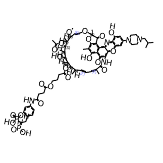 CO[C@H]1/C=C/O[C@@]2(C)Oc3c(C)c(O)c4c(=O)c(c5oc6cc(N7CCN(CC(C)C)CC7)cc(O)c6nc-5c4c3C2=O)NC(=O)/C(C)=C\C=C\[C@H](C)[C@H](OC(=O)CCCOC(=O)CCC(=O)Nc2ccc(CC([PH](=O)O)P(=O)(O)O)cc2)[C@@H](C)[C@@H](O)[C@@H](C)[C@H](OC(C)=O)[C@@H]1C